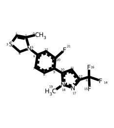 CC1=[C]SCN1c1ccc(-c2cc(C(F)(F)F)nn2C)c(F)c1